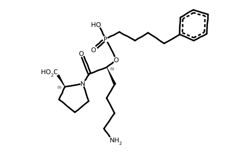 NCCCC[C@H](OP(=O)(O)CCCCc1ccccc1)C(=O)N1CCC[C@H]1C(=O)O